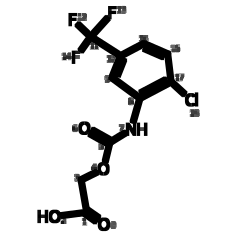 O=C(O)COC(=O)Nc1cc(C(F)(F)F)ccc1Cl